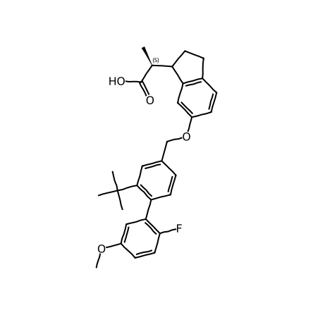 COc1ccc(F)c(-c2ccc(COc3ccc4c(c3)C([C@H](C)C(=O)O)CC4)cc2C(C)(C)C)c1